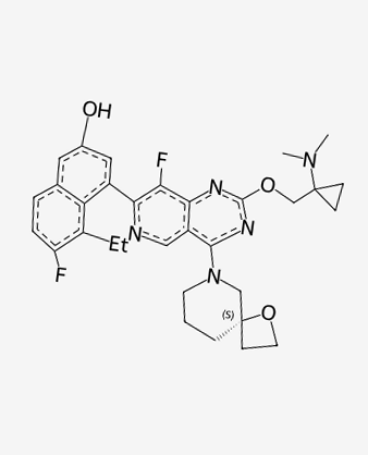 CCc1c(F)ccc2cc(O)cc(-c3ncc4c(N5CCC[C@]6(CCO6)C5)nc(OCC5(N(C)C)CC5)nc4c3F)c12